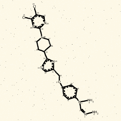 N/N=C\N(N)c1ccc(OCc2csc(C3CCN(c4ncc(Cl)c(Cl)n4)CC3)n2)cc1